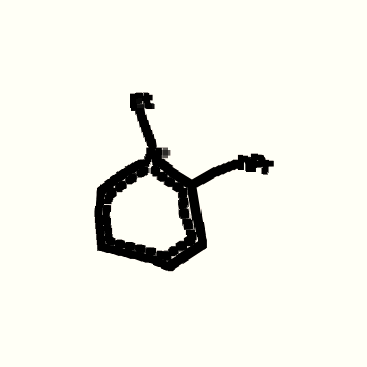 CCCc1cccc[n+]1CC